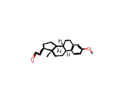 COc1ccc2c(c1)CC[C@@H]1[C@@H]2CC[C@]2(C)C(=CC=O)CC[C@@H]12